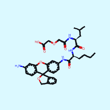 CCCC[C@H](NC(=O)[C@H](CC(C)C)NC(=O)COCC(=O)O)C(=O)Nc1ccc2c(c1)Oc1cc(N)ccc1C21OCc2ccccc21